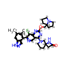 Cc1cc2[nH]ncc2c(-c2ncc3c(N4CCCC5(CC(=O)N5)C4)nc(OCC45CCCN4CCC5)nc3c2F)c1C